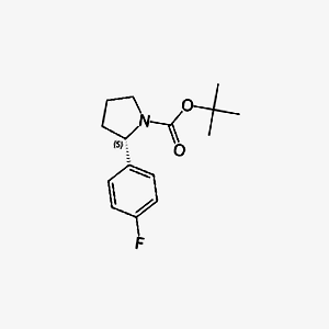 CC(C)(C)OC(=O)N1CCC[C@H]1c1ccc(F)cc1